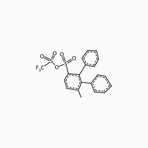 Cc1ccc(S(=O)(=O)OS(=O)(=O)C(F)(F)F)c(-c2ccccc2)c1-c1ccccc1